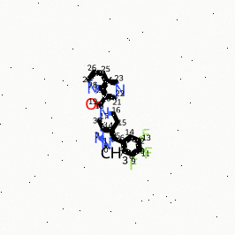 Cn1nc2c(c1-c1cc(F)c(F)c(F)c1)CCN(C(=O)c1cncc3cccnc13)C2